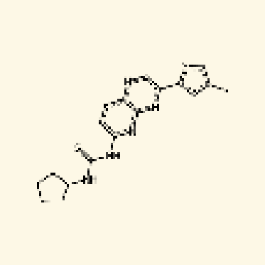 Cc1csc(-c2cnc3ccc(NC(=S)NC4CCCC4)nc3n2)c1